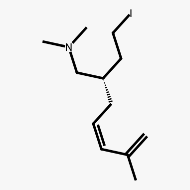 C=C(C)/C=C\C[C@@H](CCI)CN(C)C